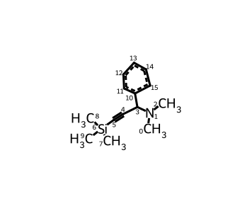 CN(C)C(C#C[Si](C)(C)C)c1ccccc1